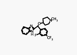 CN1CCC(OC(c2nc3ccccc3[nH]2)c2ccc(C(F)(F)F)cc2F)CC1